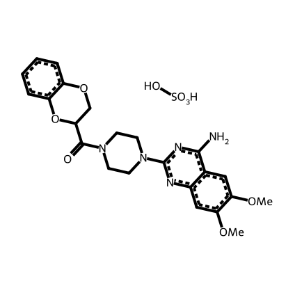 COc1cc2nc(N3CCN(C(=O)C4COc5ccccc5O4)CC3)nc(N)c2cc1OC.O=S(=O)(O)O